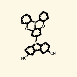 N#Cc1ccc2c(c1)c1cc(C#N)ccc1n2-c1cc2c3c(c1)Oc1ccccc1B3c1ccccc1O2